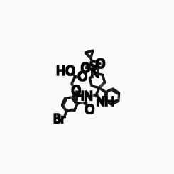 N=C(NC(=O)c1cc(Br)ccc1OCC(=O)O)C1(c2ccccc2)CCN(S(=O)(=O)C2CC2)CC1